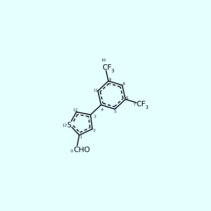 O=Cc1cc(-c2cc(C(F)(F)F)cc(C(F)(F)F)c2)cs1